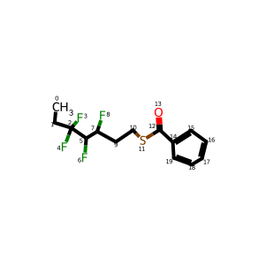 CCC(F)(F)C(F)C(F)CCSC(=O)c1ccccc1